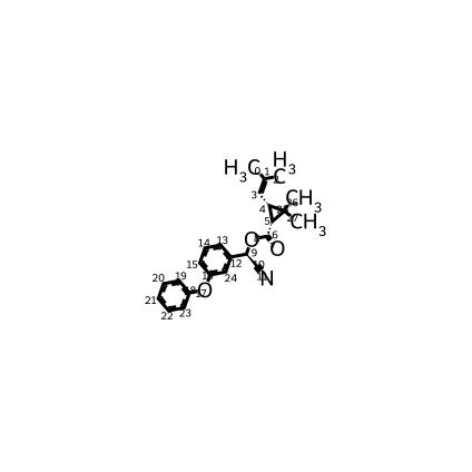 CC(C)=C[C@H]1[C@@H](C(=O)O[C@@H](C#N)c2cccc(Oc3ccccc3)c2)C1(C)C